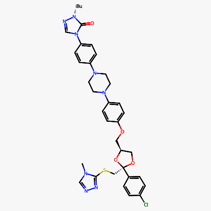 CC[C@@H](C)n1ncn(-c2ccc(N3CCN(c4ccc(OC[C@H]5CO[C@@](CSc6nncn6C)(c6ccc(Cl)cc6)O5)cc4)CC3)cc2)c1=O